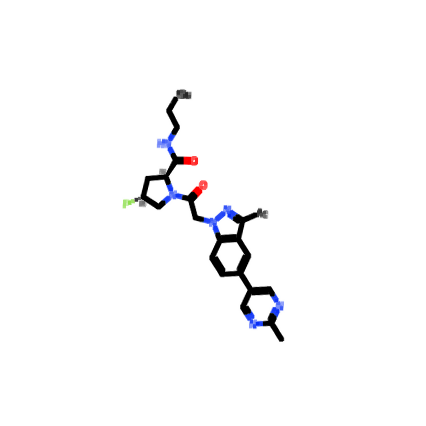 CC(=O)c1nn(CC(=O)N2C[C@H](F)C[C@H]2C(=O)NCCC(C)(C)C)c2ccc(-c3cnc(C)nc3)cc12